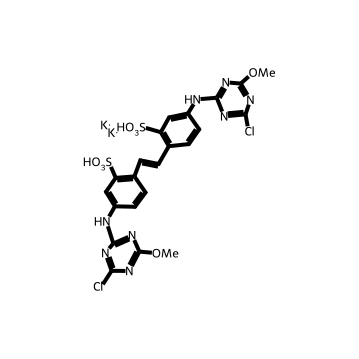 COc1nc(Cl)nc(Nc2ccc(C=Cc3ccc(Nc4nc(Cl)nc(OC)n4)cc3S(=O)(=O)O)c(S(=O)(=O)O)c2)n1.[K].[K]